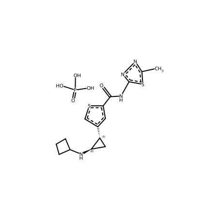 Cc1nnc(NC(=O)c2cc([C@@H]3C[C@H]3NC3CCC3)cs2)s1.O=P(O)(O)O